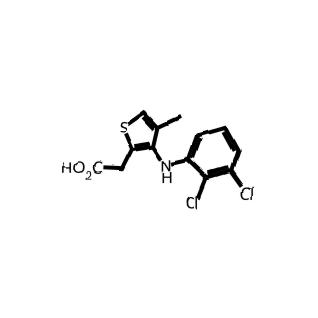 Cc1csc(CC(=O)O)c1Nc1cccc(Cl)c1Cl